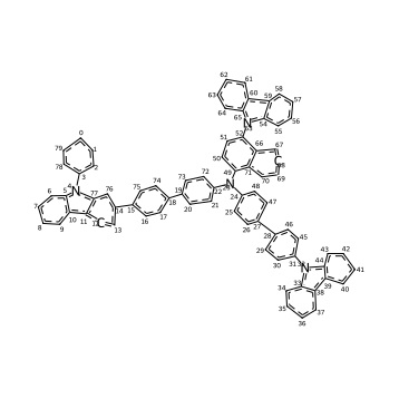 c1ccc(-n2c3ccccc3c3ccc(-c4ccc(-c5ccc(N(c6ccc(-c7ccc(-n8c9ccccc9c9ccccc98)cc7)cc6)c6ccc(-n7c8ccccc8c8ccccc87)c7ccccc67)cc5)cc4)cc32)cc1